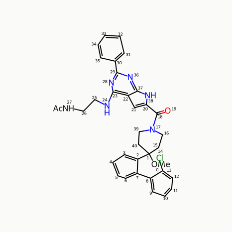 COC1(c2ccccc2-c2ccccc2Cl)CCN(C(=O)c2cc3c(NCCNC(C)=O)nc(-c4ccccc4)nc3[nH]2)CC1